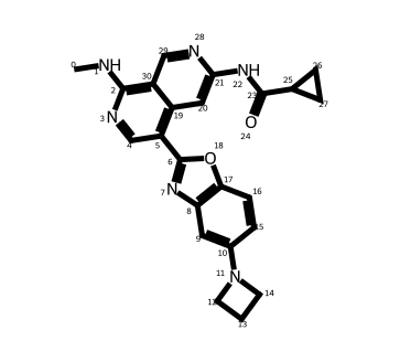 CNc1ncc(-c2nc3cc(N4CCC4)ccc3o2)c2cc(NC(=O)C3CC3)ncc12